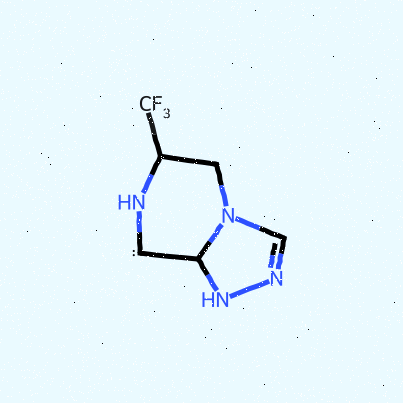 FC(F)(F)C1CN2C=NNC2[C]N1